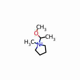 COC(C)[N+]1(C)CCCC1